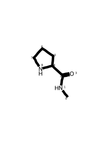 CNC(=O)C1C[CH]CN1